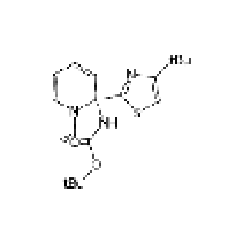 C=CN1C=CC=CC1(NC(=O)OC(C)(C)C)c1nc(C(C)(C)C)cs1